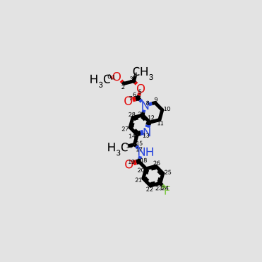 COCC(C)OC(=O)N1CCCc2nc(C(C)NC(=O)c3ccc(F)cc3)ccc21